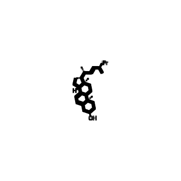 CC(C)[C@@H](C)C=C[C@@H](C)[C@H]1CC[C@H]2C3=CC=C4C[C@@H](O)CC[C@]4(C)C3CC[C@]12C